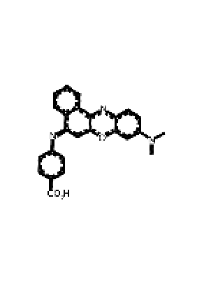 CN(C)c1ccc2nc3c4ccccc4c(=Nc4ccc(C(=O)O)cc4)cc-3oc2c1